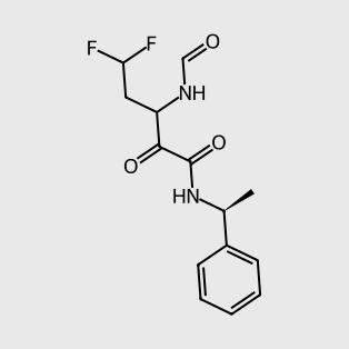 C[C@H](NC(=O)C(=O)C(CC(F)F)NC=O)c1ccccc1